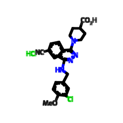 COc1ccc(CNc2nnc(N3CCC(C(=O)O)CC3)c3ccc(C#N)cc23)cc1Cl.Cl